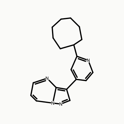 c1cnc2c(-c3ccnc(C4CCCCCCC4)c3)cnn2c1